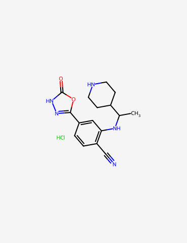 CC(Nc1cc(-c2n[nH]c(=O)o2)ccc1C#N)C1CCNCC1.Cl